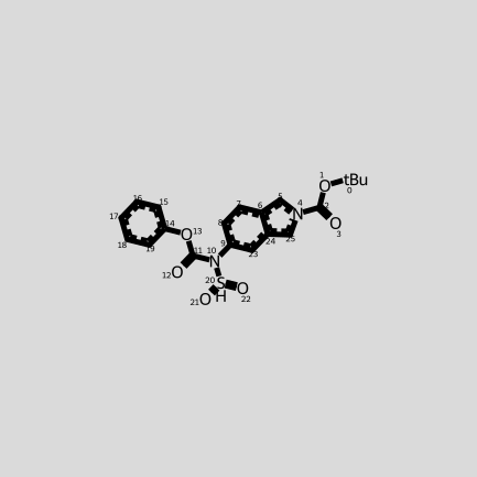 CC(C)(C)OC(=O)n1cc2ccc(N(C(=O)Oc3ccccc3)[SH](=O)=O)cc2c1